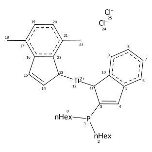 CCCCCCP(CCCCCC)C1=Cc2ccccc2[CH]1[Ti+2][CH]1C=Cc2c(C)ccc(C)c21.[Cl-].[Cl-]